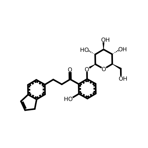 O=C(CCc1ccc2c(c1)CC=C2)c1c(O)cccc1O[C@@H]1O[C@H](CO)[C@@H](O)[C@H](O)[C@H]1O